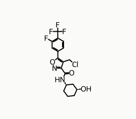 O=C(N[C@@H]1CCC[C@H](O)C1)c1noc(-c2ccc(C(F)(F)F)c(F)c2)c1CCl